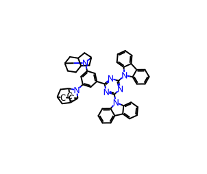 c1ccc2c(c1)c1ccccc1n2-c1nc(-c2cc(N3C4CCC5CC3CC5C4)cc(N3C4CC5CCC3C(C5)C4)c2)nc(-n2c3ccccc3c3ccccc32)n1